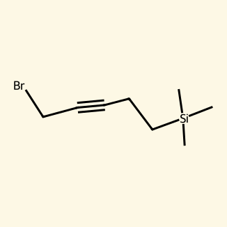 C[Si](C)(C)CCC#CCBr